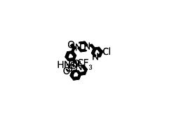 O=C(c1ccc(NS(=O)(=O)c2cccc3cccnc23)c(OC(F)(F)F)c1)N1CCN(Cc2cncc(Cl)c2)CC1